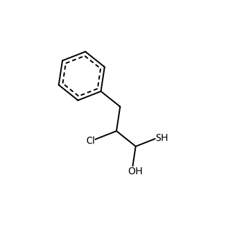 OC(S)C(Cl)Cc1ccccc1